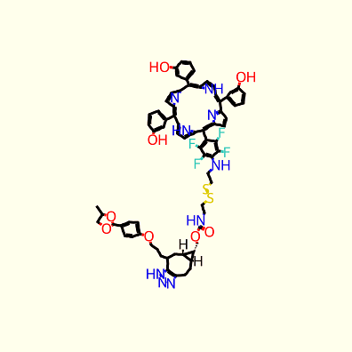 CC1COC(c2ccc(OCCCC3C[C@H]4[C@@H](CCc5nn[nH]c53)[C@H]4COC(=O)NCCSSCCNc3c(F)c(F)c(-c4c5nc(c(-c6cccc(O)c6)c6ccc([nH]6)c(-c6cccc(O)c6)c6nc(c(-c7cccc(O)c7)c7ccc4[nH]7)C=C6)C=C5)c(F)c3F)cc2)O1